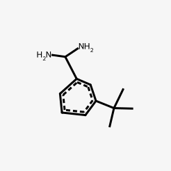 CC(C)(C)c1cccc(C(N)N)c1